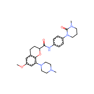 COc1cc2c(c(N3CCN(C)CC3)c1)OC(C(=O)Nc1ccc(N3CCCN(C)C3=O)cc1)CC2